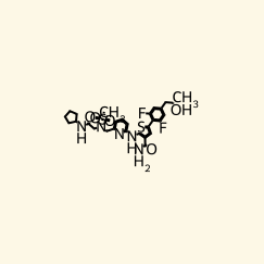 CC(O)Cc1cc(F)c(-c2cc(C(N)=O)c(Nc3cccc(CN(CC(=O)NC4CCCC4)S(C)(=O)=O)n3)s2)c(F)c1